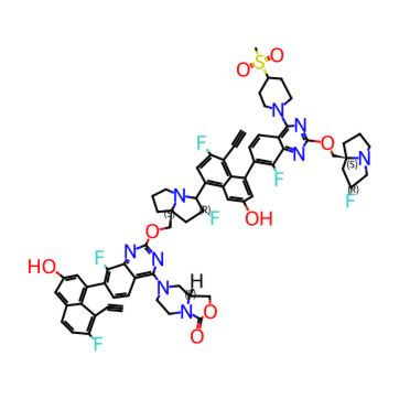 C#Cc1c(F)ccc2cc(O)cc(-c3ccc4c(N5CCN6C(=O)OC[C@H]6C5)nc(OC[C@@]56CCCN5C(c5cc(F)c(C#C)c7c(-c8ccc9c(N%10CCC(S(C)(=O)=O)CC%10)nc(OC[C@@]%10%11CCCN%10C[C@H](F)C%11)nc9c8F)cc(O)cc57)[C@H](F)C6)nc4c3F)c12